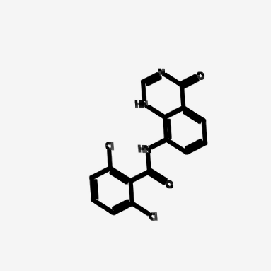 O=C(Nc1cccc2c(=O)nc[nH]c12)c1c(Cl)cccc1Cl